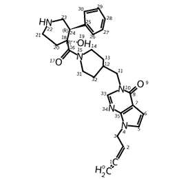 C=C=CCn1ccc2c(=O)n(CC3CCN(C(=O)[C@@]4(O)CCNC[C@H]4c4ccccc4)CC3)cnc21